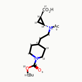 CC(=O)N(CCC1CCN(C(=O)OC(C)(C)C)CC1)[C@@H]1C[C@H]1C(=O)O